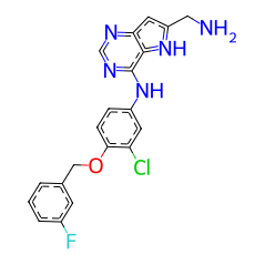 NCc1cc2ncnc(Nc3ccc(OCc4cccc(F)c4)c(Cl)c3)c2[nH]1